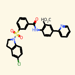 O=C(Nc1ccc(-c2ccccn2)cc1C(=O)O)c1cccc(S(=O)(=O)N2CCc3cc(Cl)ccc32)c1